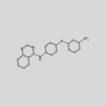 FC(F)(F)c1cccc(Oc2ccc(Nc3ncnc4ccccc34)cc2)c1